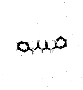 O=C(NC(=O)Nc1ccccn1)Nc1ccccc1